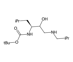 CC(C)CNCC(O)[C@H](CC(C)C)NC(=O)OC(C)(C)C